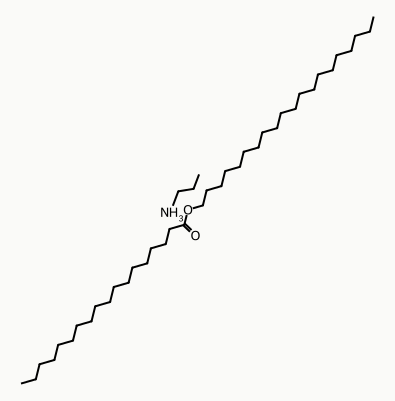 CCCC.CCCCCCCCCCCCCCCCCCCCOC(=O)CCCCCCCCCCCCCCCCC.N